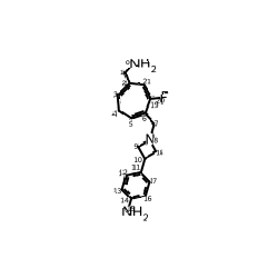 NCC1=CCC=C(CN2CC(c3ccc(N)cc3)C2)C(F)=C1